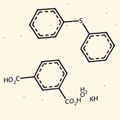 O.O=C(O)c1cccc(C(=O)O)c1.[KH].c1ccc(Sc2ccccc2)cc1